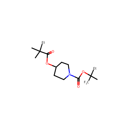 CCC(C)(C)C(=O)OC1CCN(C(=O)OC(C)(CC)C(F)(F)F)CC1